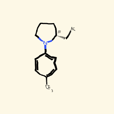 CC(=O)C[C@H]1CCCN1c1ccc(C(F)(F)F)cc1